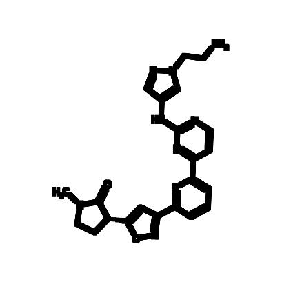 CN1CC[C@@H](c2cc(-c3cccc(-c4ccnc(Nc5cnn(CCN)c5)n4)n3)no2)C1=O